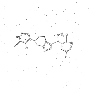 COC(c1cc(F)ccc1Cl)c1cnc2n1CCN(c1cn[nH]c(=O)c1Cl)C2